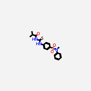 CC(C)C(=O)NC(=S)Nc1ccc(S(=O)(=O)N(C)c2ccccc2)cc1